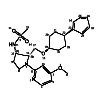 COc1ccnc(N2CC[C@H](NS(C)(=O)=O)[C@@H]2CO[C@H]2CC[C@@H](c3ccccc3)CC2)c1